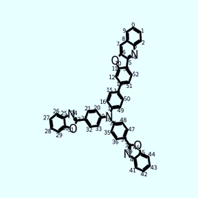 c1ccc2nc3c(cc2c1)oc1cc(-c2ccc(N(c4ccc(-c5nc6ccccc6o5)cc4)c4ccc(-c5nc6ccccc6o5)cc4)cc2)ccc13